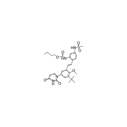 CCCCOC(=O)Nc1cc(NS(C)(=O)=O)ccc1/C=C/c1cc(-n2ccc(=O)[nH]c2=O)cc(C(C)(C)C)c1OC